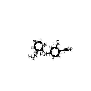 N#Cc1ccc(Nc2ncccc2N)cc1F